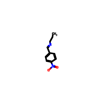 CCCN=Cc1ccc([N+](=O)[O-])cc1